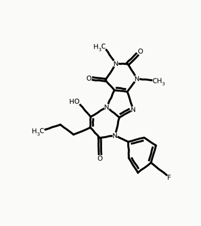 CCCc1c(O)n2c3c(=O)n(C)c(=O)n(C)c3nc2n(-c2ccc(F)cc2)c1=O